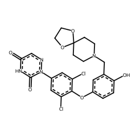 O=c1cnn(-c2cc(Cl)c(Oc3ccc(O)c(CN4CCC5(CC4)OCCO5)c3)c(Cl)c2)c(=O)[nH]1